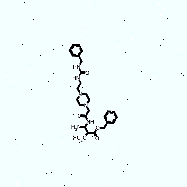 NC(NC(=O)CN1CCN(CCNC(=O)NCc2ccccc2)CC1)C(C(=O)O)C(=O)OCc1ccccc1